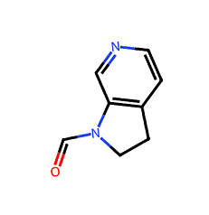 O=CN1CCc2ccncc21